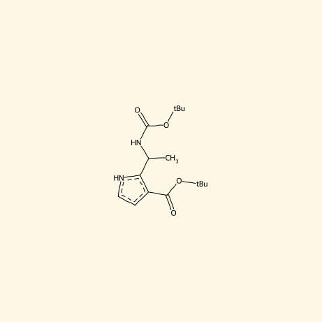 CC(NC(=O)OC(C)(C)C)c1[nH]ccc1C(=O)OC(C)(C)C